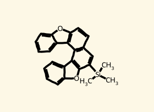 C[Si](C)(C)c1cc2ccc3oc4ccccc4c3c2c2c1oc1ccccc12